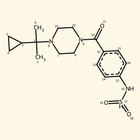 CC(C)(C1CC1)N1CCN(C(=O)c2ccc(N[SH](=O)=O)cc2)CC1